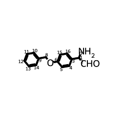 NC(C=O)c1ccc(OCc2ccccc2)cc1